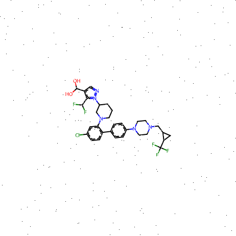 OC(O)c1cnn(C2CCCN(c3cc(Cl)ccc3-c3ccc(N4CCN(CC5CC5C(F)(F)F)CC4)cc3)C2)c1C(F)F